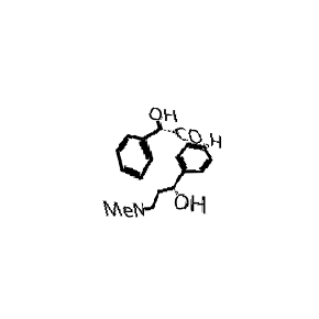 CNCC[C@@H](O)c1ccccc1.O=C(O)[C@@H](O)c1ccccc1